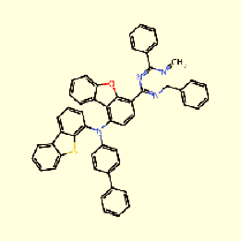 C=N/C(=N\C(=N/Cc1ccccc1)c1ccc(N(c2ccc(-c3ccccc3)cc2)c2cccc3c2sc2ccccc23)c2c1oc1ccccc12)c1ccccc1